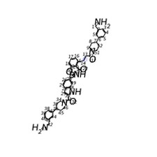 NCc1cccc(C2CCN(C(=O)/C=C/c3cccc4c3C(=O)NB(c3ccc5cc(C(=O)N6CCC(c7cccc(CN)c7)CC6)[nH]c5c3)O4)CC2)c1